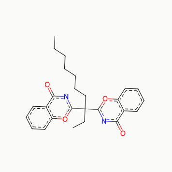 CCCCCCCC(CC)(c1nc(=O)c2ccccc2o1)c1nc(=O)c2ccccc2o1